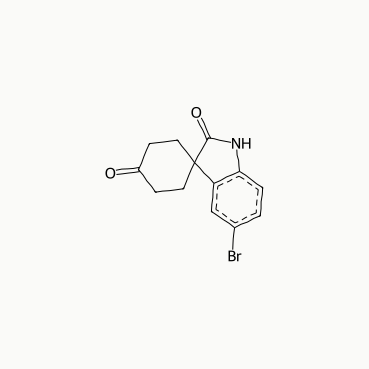 O=C1CCC2(CC1)C(=O)Nc1ccc(Br)cc12